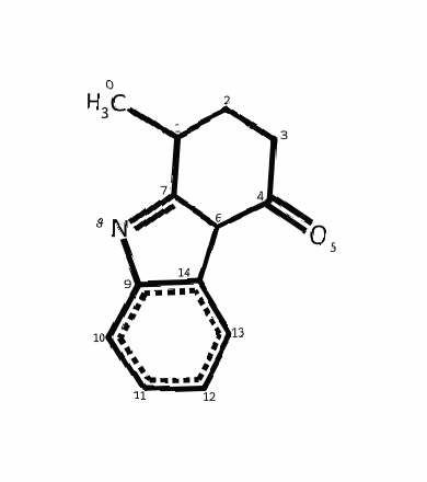 CC1CCC(=O)C2C1=Nc1ccccc12